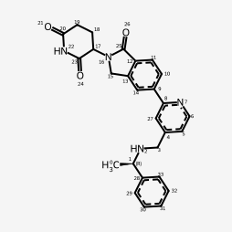 C[C@@H](NCc1ccnc(-c2ccc3c(c2)CN(C2CCC(=O)NC2=O)C3=O)c1)c1ccccc1